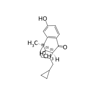 C[C@H]1[C@H]2C(=O)c3ccc(O)cc3[C@]1(C)CCC2CC1CC1